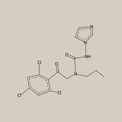 CCCN(CC(=O)c1c(Cl)cc(Cl)cc1Cl)C(=O)Nn1ccnc1